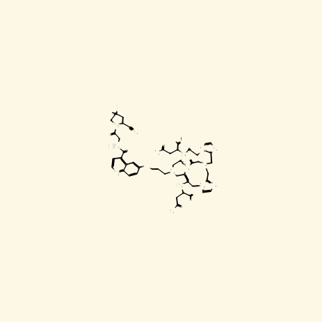 N#CC1CC(F)(F)CN1C(=O)CNC(=O)c1ccnc2ccc(OCCCN3CCN4C(=O)CN(Cc5nccn5CC(=O)NC(CC(N)=O)C(=O)O)Cc5nccn5C/C(NC(CC(N)=O)C(=O)O)=C\4C3)cc12